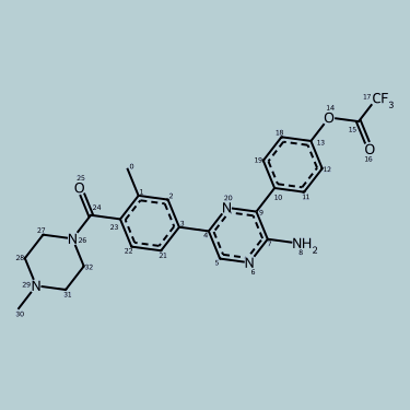 Cc1cc(-c2cnc(N)c(-c3ccc(OC(=O)C(F)(F)F)cc3)n2)ccc1C(=O)N1CCN(C)CC1